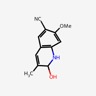 COc1cc2c(cc1C#N)C=C(C)C(O)N2